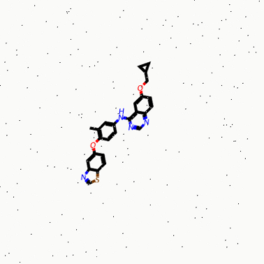 Cc1cc(Nc2ncnc3ccc(OCC4CC4)cc23)ccc1OC1=CC2N=CSC2C=C1